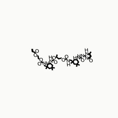 C=CC(=O)OCCOC(=O)NCC1(C)CC(NC(=O)OC(C)CCOC(=O)NCC2(C)CC(NC(=O)Nc3nc(=O)cc(C)[nH]3)CC(C)(C)C2)CC(C)(C)C1